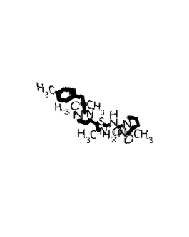 Cc1ccc(CC(C)(C)c2nccc(-c3sc(NC(=O)N4CCC[C@@]4(C)C(N)=O)nc3C)n2)cc1